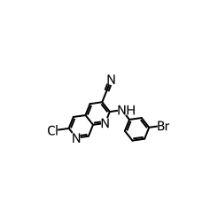 N#Cc1cc2cc(Cl)ncc2nc1Nc1cccc(Br)c1